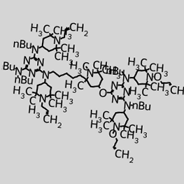 C=CCON1C(C)(C)CC(N(CCCC)c2nc(OC3CC(C)(C)N(C)C(C)(CCCCCN(c4nc(N(CCCC)CCCC)nc(N(CCCC)C5CC(C)(C)N(CC=C)C(C)(C)C5)n4)C4CC(C)(C)N(CC=C)C(C)(C)C4)C3)nc(N(CCCC)C3CC(C)(C)N(OCC=C)C(C)(C)C3)n2)CC1(C)C